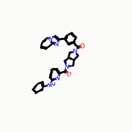 O=C(c1cccc(-c2cn3ccccc3n2)c1)N1CC2CN(C(=O)c3cccc(Nc4ccccc4)n3)CC2C1